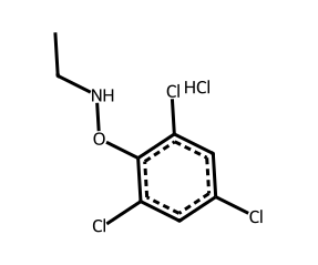 CCNOc1c(Cl)cc(Cl)cc1Cl.Cl